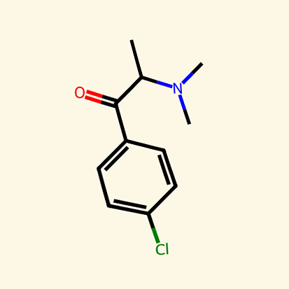 CC(C(=O)c1ccc(Cl)cc1)N(C)C